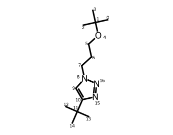 CC(C)(C)OCCCn1cc(C(C)(C)C)nn1